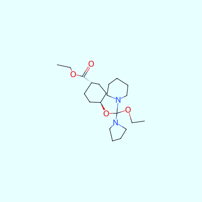 CCOC(=O)[C@H]1CC[C@H](OC(OCC)(N2CCCCC2)N2CCCC2)CC1